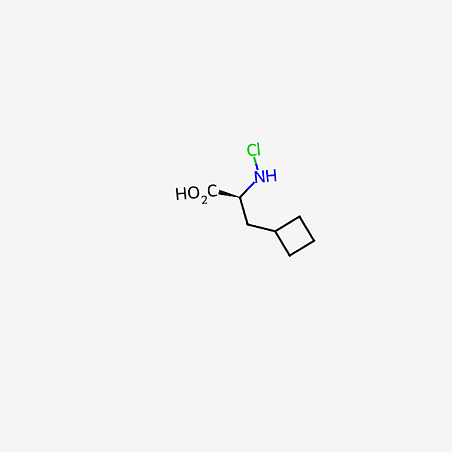 O=C(O)[C@H](CC1CCC1)NCl